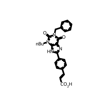 CCCCn1c(=O)n(Cc2ccccc2)c(=O)c2nc(-c3ccc(C=CC(=O)O)cc3)[nH]c21